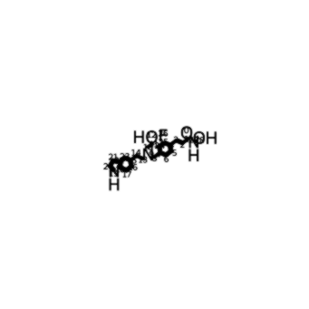 O=C(/C=C/c1ccc(CN(CCO)CCc2ccc3[nH]ccc3c2)cc1F)NO